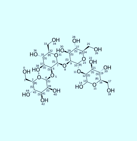 OC[C@H]1O[C@@H](O[C@@H]2[C@H](O[C@@H]3[C@@H](O[C@@H]4C(O)O[C@H](CO)[C@@H](O)[C@@H]4O)O[C@H](CO)[C@@H](O)[C@@H]3O)O[C@H](CO)[C@@H](O)[C@@H]2O)[C@@H](O)[C@@H](O)[C@@H]1O